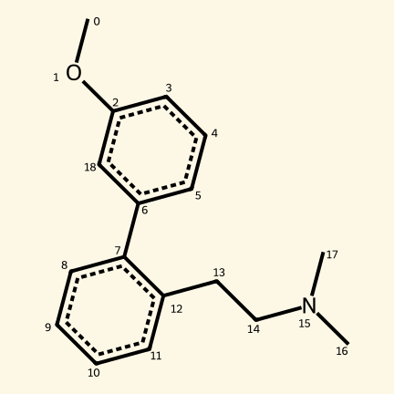 COc1cccc(-c2ccccc2CCN(C)C)c1